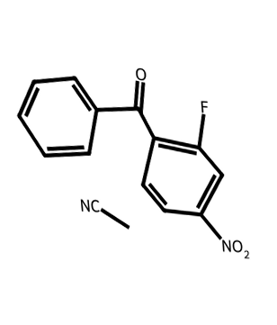 CC#N.O=C(c1ccccc1)c1ccc([N+](=O)[O-])cc1F